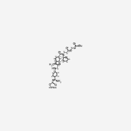 CCCCCCOC(=O)/N=C(\N)c1ccc(NCc2nc3cc(C(=O)N(CCC(=O)OCOC(=O)C(C)(C)C)c4ccccn4)ccc3n2C)cc1